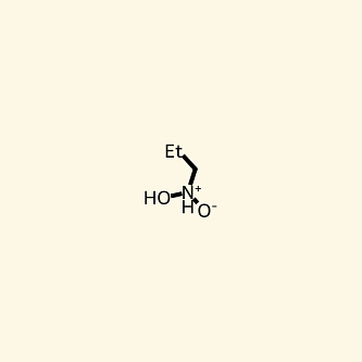 CCC[NH+]([O-])O